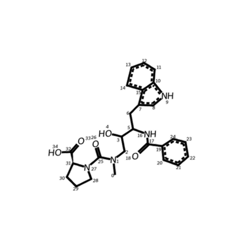 CN(CC(O)C(Cc1c[nH]c2ccccc12)NC(=O)c1ccccc1)C(=O)N1CCC[C@H]1C(=O)O